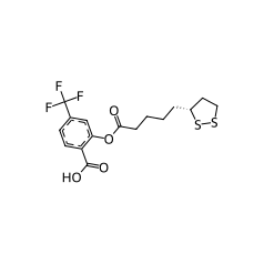 O=C(CCCC[C@@H]1CCSS1)Oc1cc(C(F)(F)F)ccc1C(=O)O